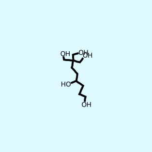 OCCCC(O)CCC(CO)(CO)CO